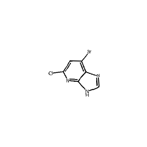 Clc1cc(Br)c2nc[nH]c2n1